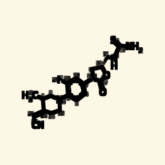 CC1CN(c2ccc(N3C[C@H](CNC(N)=S)OC3=O)cc2F)CCC1=CC#N